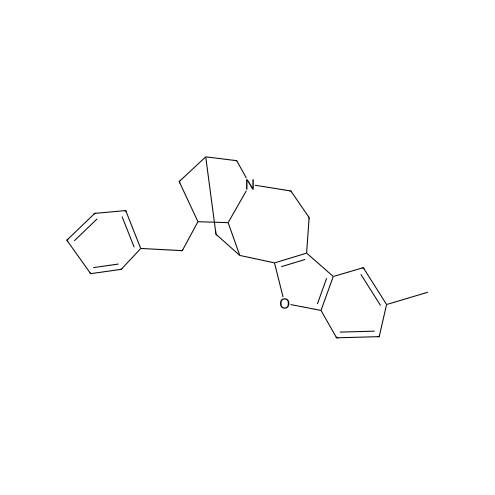 Cc1ccc2oc3c(c2c1)CCN1CC2CC(Cc4ccccc4)C1C3C2